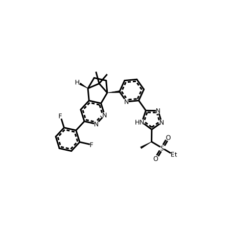 CCS(=O)(=O)[C@@H](C)c1nnc(-c2cccc([C@@]34CC[C@@H](c5cc(-c6c(F)cccc6F)nnc53)C4(C)C)n2)[nH]1